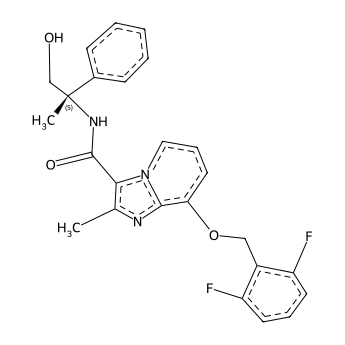 Cc1nc2c(OCc3c(F)cccc3F)cccn2c1C(=O)N[C@](C)(CO)c1ccccc1